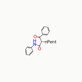 CCCCCC(C(=O)Nc1ccccc1)C(=O)c1ccccc1